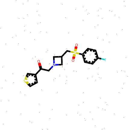 O=C(CN1CC(CS(=O)(=O)c2ccc(F)cc2)C1)c1ccsc1